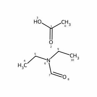 CC(=O)O.CCN(C=O)CC